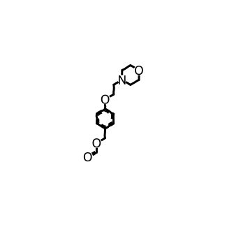 O=COCc1ccc(OCCN2CCOCC2)cc1